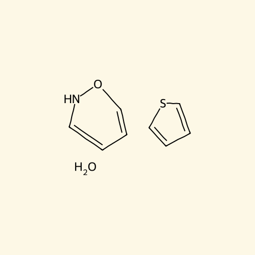 C1=CNOC=C1.O.c1ccsc1